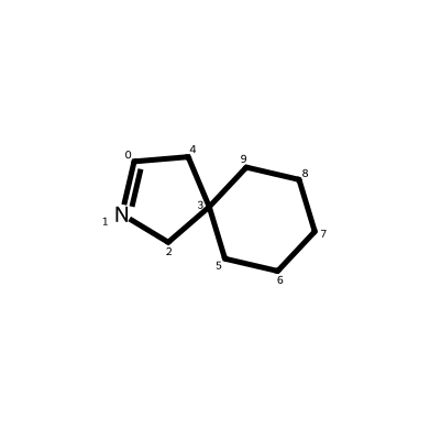 C1=NCC2(C1)CCCCC2